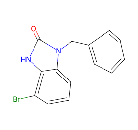 O=c1[nH]c2c(Br)cccc2n1Cc1ccccc1